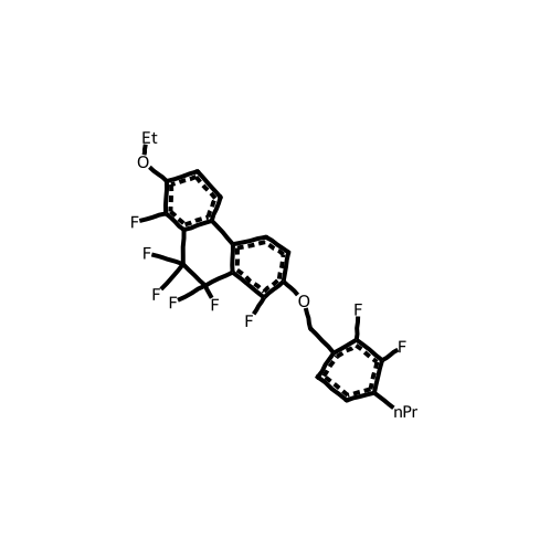 CCCc1ccc(COc2ccc3c(c2F)C(F)(F)C(F)(F)c2c-3ccc(OCC)c2F)c(F)c1F